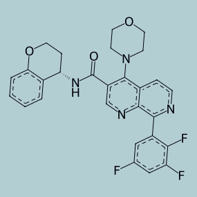 O=C(N[C@H]1CCOc2ccccc21)c1cnc2c(-c3cc(F)cc(F)c3F)nccc2c1N1CCOCC1